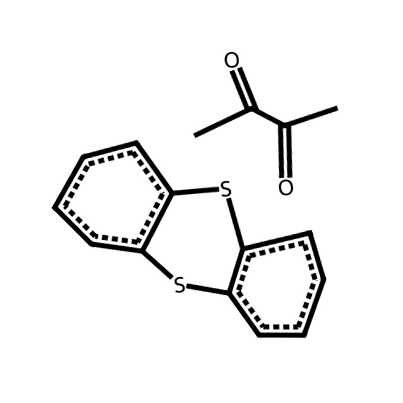 CC(=O)C(C)=O.c1ccc2c(c1)Sc1ccccc1S2